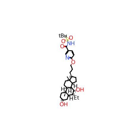 CC[C@H]1[C@@H](O)[C@@H]2[C@H](CC[C@]3(C)[C@@H](CCCOc4ccc(C(=O)NS(=O)(=O)C(C)(C)C)cn4)CC[C@@H]23)[C@@]2(C)CC[C@@H](O)C[C@@H]12